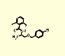 CC(COCc1ccc(Cl)cc1)NC(=O)c1c(F)cccc1F